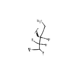 [CH2]CC(F)(F)C(F)(F)[C](F)F